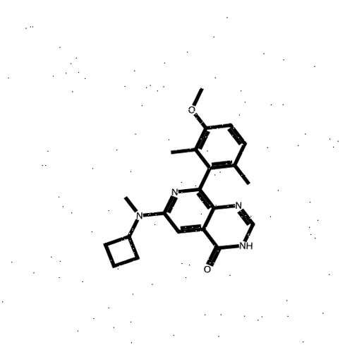 COc1ccc(C)c(-c2nc(N(C)C3CCC3)cc3c(=O)[nH]cnc23)c1C